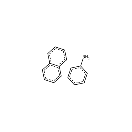 Nc1ccccc1.c1ccc2ccccc2c1